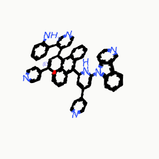 C=C/C(=C\C(c1ccncc1-c1ccccc1N)c1c2ccccc2c(C2C=C(c3ccncc3)C=C(n3c4ccccc4c4cnccc43)N2)c2ccccc12)c1ccncc1